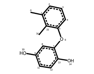 Cc1cccc(Oc2cc(O)ccc2O)c1C